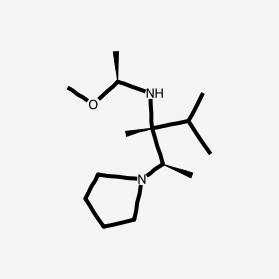 CO[C@@H](C)N[C@](C)(C(C)C)[C@@H](C)N1CCCC1